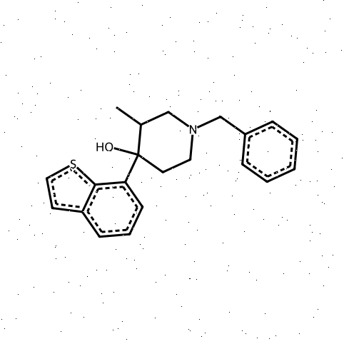 CC1CN(Cc2ccccc2)CCC1(O)c1cccc2ccsc12